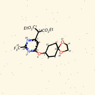 CCOC(=O)C(C(=O)OCC)c1cc(OC2CCC3(CC2)OCCO3)nc(C(F)(F)F)n1